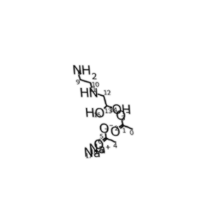 CC(=O)[O-].CC(=O)[O-].NCCNCC(O)O.[Na+].[Na+]